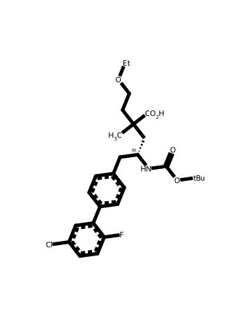 CCOCCC(C)(C[C@@H](Cc1ccc(-c2cc(Cl)ccc2F)cc1)NC(=O)OC(C)(C)C)C(=O)O